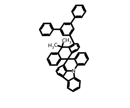 CC1(C)c2ccccc2C2(c3ccccc3-n3c4ccccc4c4cccc2c43)c2cccc(-c3cc(-c4ccccc4)cc(-c4ccccc4)c3)c21